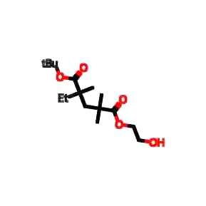 CCC(C)(CC(C)(C)C(=O)OCCO)C(=O)OC(C)(C)C